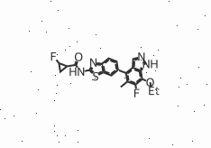 CCOc1c(F)c(C)c(-c2ccc3nc(NC(=O)C4CC4F)sc3c2)c2cn[nH]c12